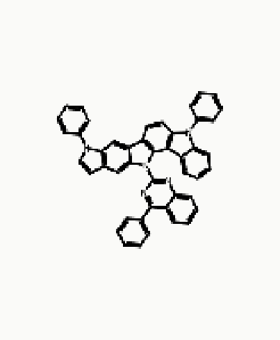 c1ccc(-c2nc(-n3c4cc5ccn(-c6ccccc6)c5cc4c4ccc5c(c6ccccc6n5-c5ccccc5)c43)nc3ccccc23)cc1